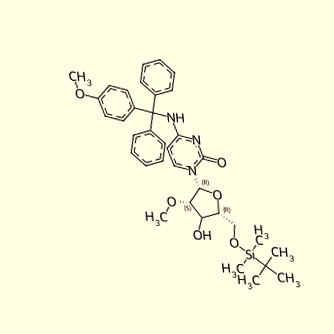 COc1ccc(C(Nc2ccn([C@@H]3O[C@H](CO[Si](C)(C)C(C)(C)C)C(O)[C@@H]3OC)c(=O)n2)(c2ccccc2)c2ccccc2)cc1